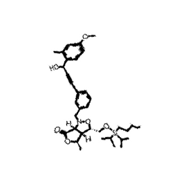 CCCC[Si](OC[C@H]1ON(Cc2cccc(C#CC(O)c3ccc(OC)cc3C)c2)[C@H]2C(=O)O[C@H](C)[C@@H]12)(C(C)C)C(C)C